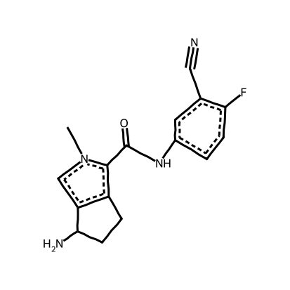 Cn1cc2c(c1C(=O)Nc1ccc(F)c(C#N)c1)CCC2N